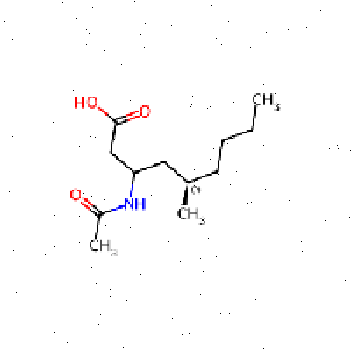 CCCC[C@@H](C)CC(CC(=O)O)NC(C)=O